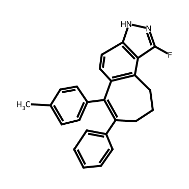 Cc1ccc(C2=C(c3ccccc3)CCCc3c2ccc2[nH]nc(F)c32)cc1